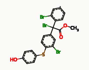 COC(=O)C(Br)(c1ccc(Sc2ccc(O)cc2)c(Br)c1)c1cc[c]cc1Br